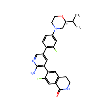 CC(C)[C@H]1CN(c2ccc(-c3cnc(N)c(-c4cc5c(cc4F)C(=O)NCC5)c3)c(F)c2)CCO1